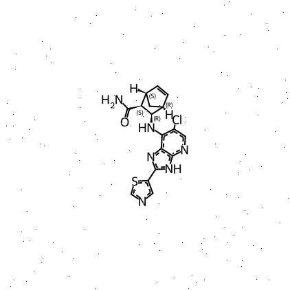 NC(=O)[C@@H]1[C@H](Nc2c(Cl)cnc3[nH]c(-c4cncs4)nc23)[C@H]2C=C[C@@H]1C2